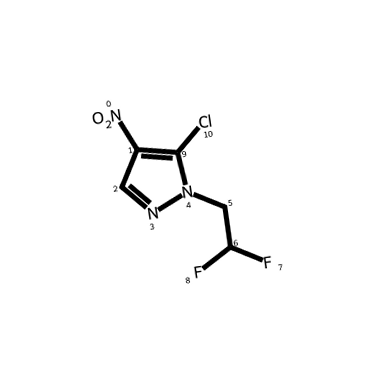 O=[N+]([O-])c1cnn(CC(F)F)c1Cl